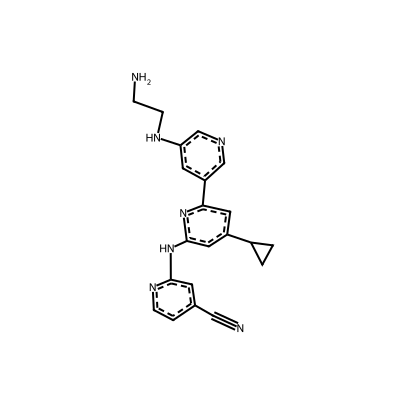 N#Cc1ccnc(Nc2cc(C3CC3)cc(-c3cncc(NCCN)c3)n2)c1